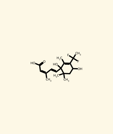 CC1=C(C(C)(F)F)C(O)CC(C)(C)C1(O)/C=C/C(C)=C\C(=O)O